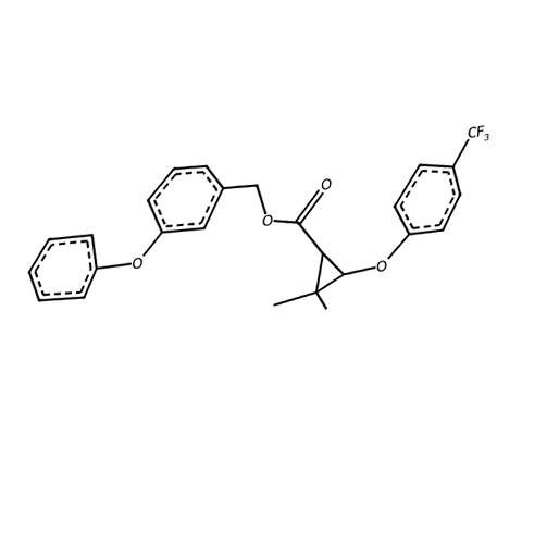 CC1(C)C(Oc2ccc(C(F)(F)F)cc2)C1C(=O)OCc1cccc(Oc2ccccc2)c1